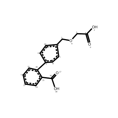 O=C(O)COCc1ccc(-c2ccccc2C(=O)O)cc1